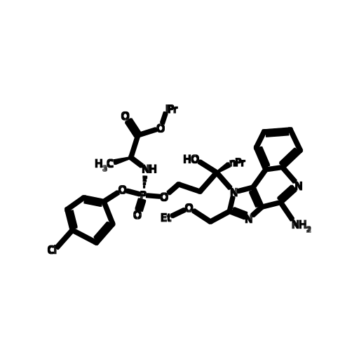 CCC[C@](O)(CCO[P@](=O)(N[C@@H](C)C(=O)OC(C)C)Oc1ccc(Cl)cc1)n1c(COCC)nc2c(N)nc3ccccc3c21